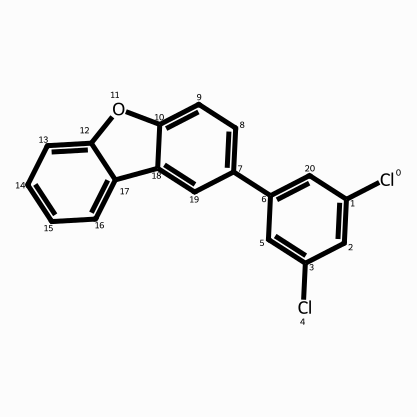 Clc1cc(Cl)cc(-c2ccc3oc4ccccc4c3c2)c1